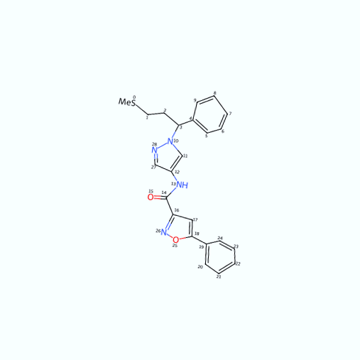 CSCCC(c1ccccc1)n1cc(NC(=O)c2cc(-c3ccccc3)on2)cn1